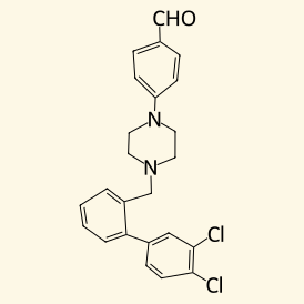 O=Cc1ccc(N2CCN(Cc3ccccc3-c3ccc(Cl)c(Cl)c3)CC2)cc1